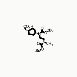 CN(CCN(C(=O)OC(C)(C)C)[C@H]1CC[C@H](CC(=O)O)CC1)C(=O)OC(C)(C)C